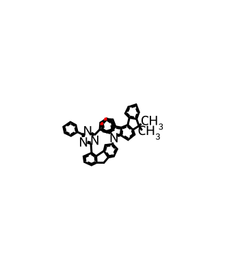 CC1(C)c2ccccc2-c2c1ccc1c2c2ccccc2n1-c1ccc2c(c1)-c1c(cccc1-c1nc(-c3ccccc3)nc(-c3ccccc3)n1)C2